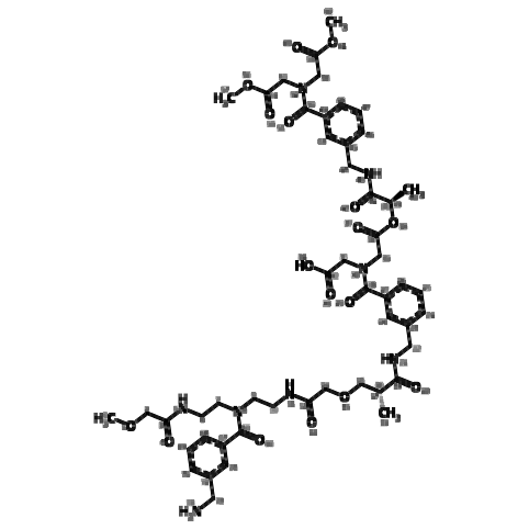 COCC(=O)NCCN(CCNC(=O)COC[C@@H](C)C(=O)NCc1cccc(C(=O)N(CC(=O)O)CC(=O)O[C@H](C)C(=O)NCc2cccc(C(=O)N(CC(=O)OC)CC(=O)OC)c2)c1)C(=O)c1cccc(CN)c1